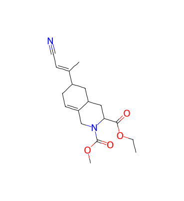 CCOC(=O)C1CC2CC(C(C)=CC#N)CC=C2CN1C(=O)OC